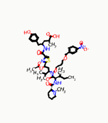 CCC(C)C(NC(=O)[C@H]1CCCCN1C)C(=O)N(OCCCOCc1ccc([N+](=O)[O-])cc1)C(CC(OC(C)=O)c1nc(C(=O)NC(Cc2ccc(O)cc2)CC(C)C(=O)O)cs1)C(C)C